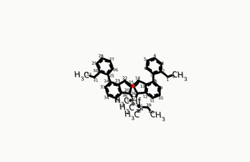 CCc1ccccc1-c1cccc2c1C=C[CH]2[Hf]([CH3])([CH3])([CH]1C=Cc2c(-c3ccccc3CC)cccc21)=[Si](C)CC